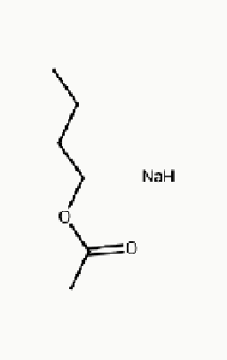 CCCCOC(C)=O.[NaH]